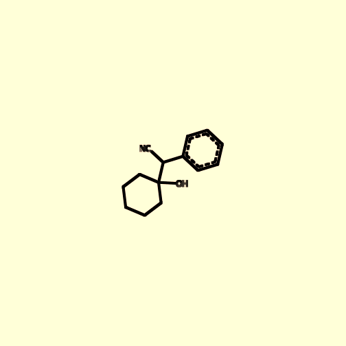 N#CC(c1ccccc1)C1(O)CCCCC1